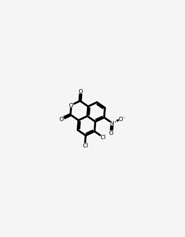 O=C1OC(=O)c2cc(Cl)c(Cl)c3c([N+](=O)[O-])ccc1c23